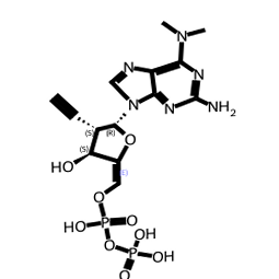 C#C[C@H]1[C@H](O)/C(=C\OP(=O)(O)OP(=O)(O)O)O[C@H]1n1cnc2c(N(C)C)nc(N)nc21